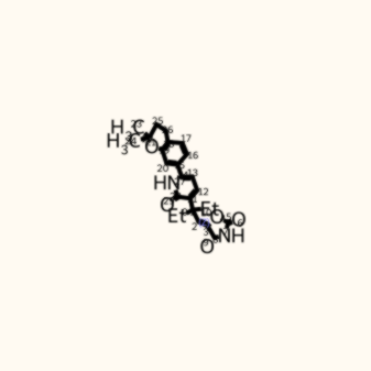 CCC(/C=C1\OC(=O)NC1=O)(CC)c1ccc(-c2ccc3c(c2)OC(C)(C)CC3)[nH]c1=O